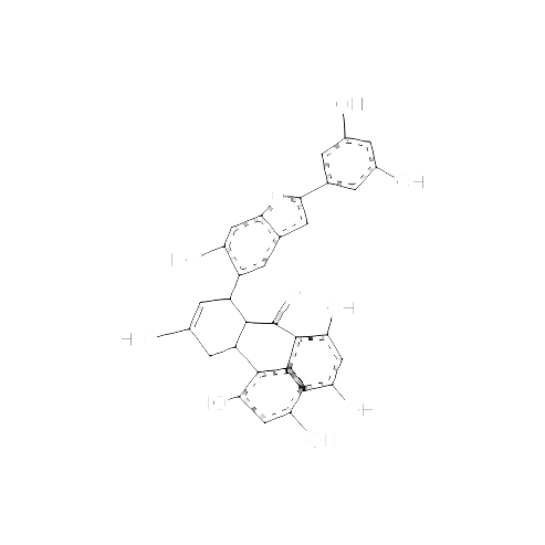 CC1=CC(c2cc3cc(-c4cc(O)cc(O)c4)oc3cc2O)C(C(=O)c2ccc(O)cc2O)C(c2ccc(O)cc2O)C1